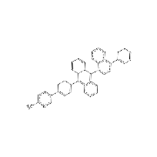 Cc1ccc(C2=CC=C(C3=c4ccccc4=C(c4ccc(C5=CC=CCC5)c5ccccc45)C4C=CC=CC34)CC2)cn1